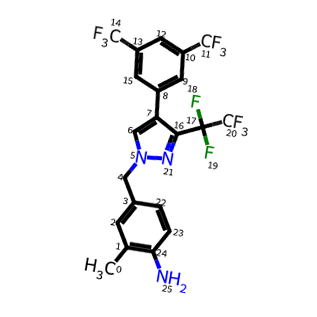 Cc1cc(Cn2cc(-c3cc(C(F)(F)F)cc(C(F)(F)F)c3)c(C(F)(F)C(F)(F)F)n2)ccc1N